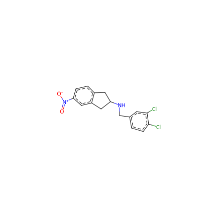 O=[N+]([O-])c1ccc2c(c1)CC(NCc1ccc(Cl)c(Cl)c1)C2